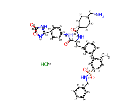 Cc1ccc(S(=O)(=O)NCc2ccccc2)cc1-c1cccc(C[C@H](NC(=O)C2CCC(CN)CC2)C(=O)Nc2ccc(-c3noc(=O)[nH]3)cc2)c1.Cl